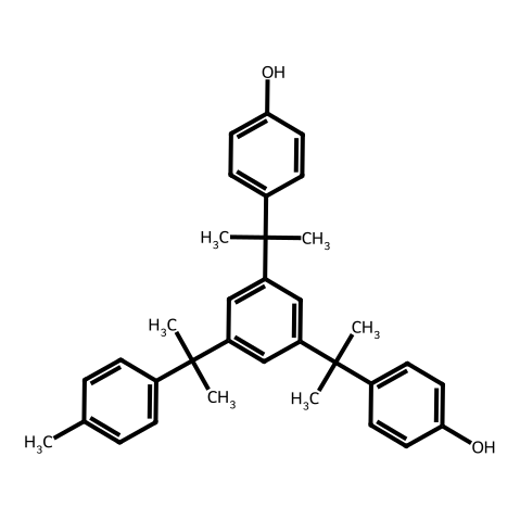 Cc1ccc(C(C)(C)c2cc(C(C)(C)c3ccc(O)cc3)cc(C(C)(C)c3ccc(O)cc3)c2)cc1